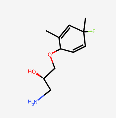 CC1=CC(C)(F)C=CC1OC[C@H](O)CN